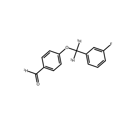 [2H]C(=O)c1ccc(OC([2H])([2H])c2cccc(F)c2)cc1